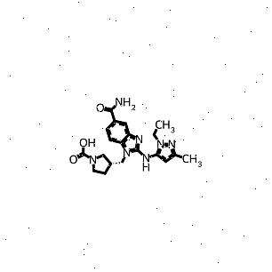 CCn1nc(C)cc1Nc1nc2cc(C(N)=O)ccc2n1C[C@@H]1CCN(C(=O)O)C1